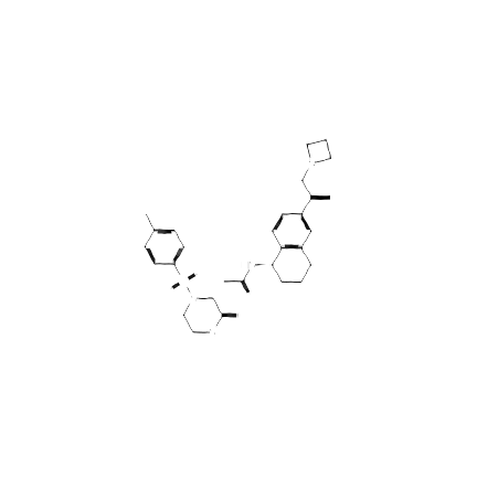 C=C(CN1CCC1)c1ccc2c(c1)CCC[C@H]2NC(=O)C[C@@H]1C(=O)NCCN1S(=O)(=O)c1ccc(C)cc1